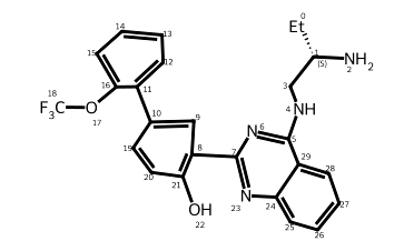 CC[C@H](N)CNc1nc(-c2cc(-c3ccccc3OC(F)(F)F)ccc2O)nc2ccccc12